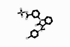 CS(=O)(=O)NC(=O)c1cccc(N2C(=O)[C@@]3(C[C@H]3c3ccc(Cl)cc3)c3ccccc32)c1